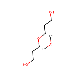 CCOCC.OCCCOCCCO